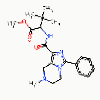 COC(=O)C(NC(=O)c1nc(-c2ccccc2)n2c1CN(C)CC2)C(C)(C)C